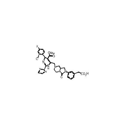 COC(=O)C1=C(CN2CCN3C(=O)N(c4cccc(CC(=O)O)c4)CC3C2)NC(c2nccs2)=NC1c1ccc(F)cc1Cl